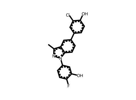 Cc1nn(-c2ccc(F)c(O)c2)c2ccc(-c3ccc(O)c(Cl)c3)cc12